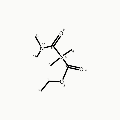 CCOC(=O)S(C)(C)C(=O)N(C)C